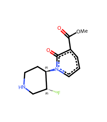 COC(=O)c1cccn([C@@H]2CCNC[C@H]2F)c1=O